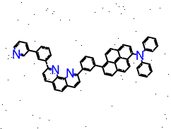 c1ccc(N(c2ccccc2)c2ccc3ccc4c(-c5cccc(-c6ccc7ccc8ccc(-c9cccc(-c%10cccnc%10)c9)nc8c7n6)c5)ccc5ccc2c3c54)cc1